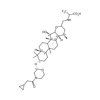 C[C@@H]1CC(CNC(C(=O)O)C(F)(F)F)OC2[C@H]1[C@@]1(C)CCC34C[C@@]35CC[C@H](O[C@H]3CN(C(=O)CC6CC6)CCO3)C(C)(C)[C@@H]5CCC4[C@]1(C)[C@H]2O